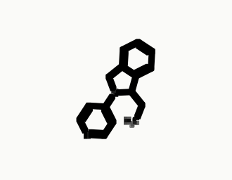 CCC1c2ccccc2CN1c1ccncc1